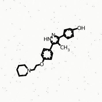 Cc1c(-c2ccc(O)cc2)n[nH]c1-c1ccc(OCCN2CCCCC2)cc1